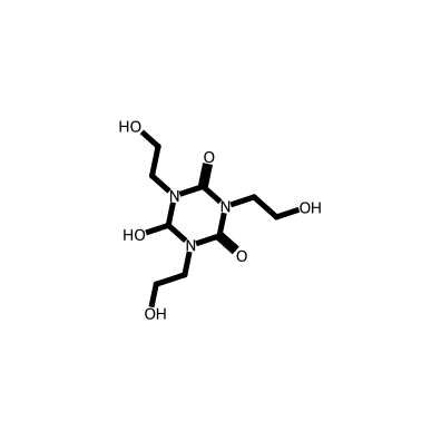 O=C1N(CCO)C(=O)N(CCO)C(O)N1CCO